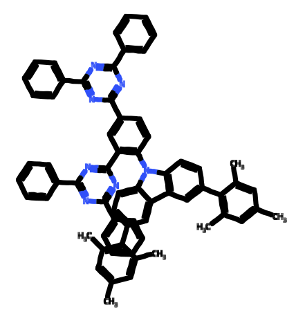 Cc1cc(C)c(-c2ccc3c(c2)c2cc(-c4c(C)cc(C)cc4C)ccc2n3-c2ccc(-c3nc(-c4ccccc4)nc(-c4ccccc4)n3)cc2-c2nc(-c3ccccc3)nc(-c3ccccc3)n2)c(C)c1